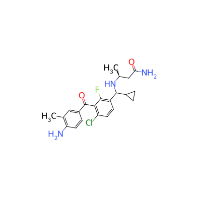 Cc1cc(C(=O)c2c(Cl)ccc(C(N[C@@H](C)CC(N)=O)C3CC3)c2F)ccc1N